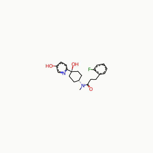 CN(C(=O)CCc1ccccc1F)[C@H]1CC[C@@](O)(c2ccc(O)cn2)CC1